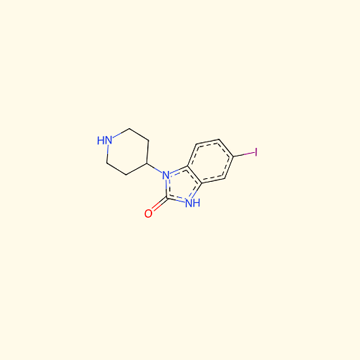 O=c1[nH]c2cc(I)ccc2n1C1CCNCC1